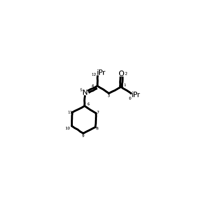 CC(C)C(=O)CC(=NC1CCCCC1)C(C)C